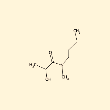 CCCCN(C)C(=O)C(C)O